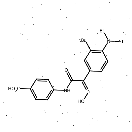 CCN(CC)c1ccc(C(=NO)C(=O)Nc2ccc(C(=O)O)cc2)cc1C(C)(C)C